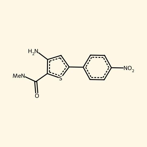 CNC(=O)c1sc(-c2ccc([N+](=O)[O-])cc2)cc1N